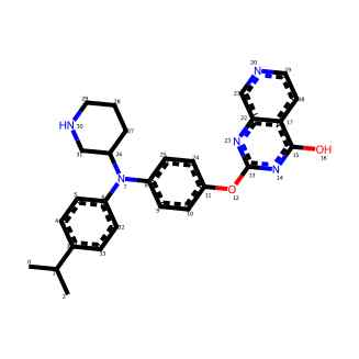 CC(C)c1ccc(N(c2ccc(Oc3nc(O)c4ccncc4n3)cc2)C2CCCNC2)cc1